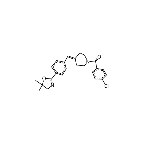 CC1(C)CN=C(c2ccc(C=C3CCN(C(=O)c4ccc(Cl)cc4)CC3)cc2)O1